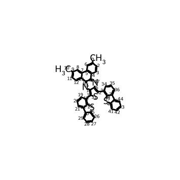 Cc1ccc2c(c1)c1cc(C)ccc1c1nc3c(-c4cccc5c4sc4ccccc45)sc(-c4cccc5c4sc4ccccc45)c3nc21